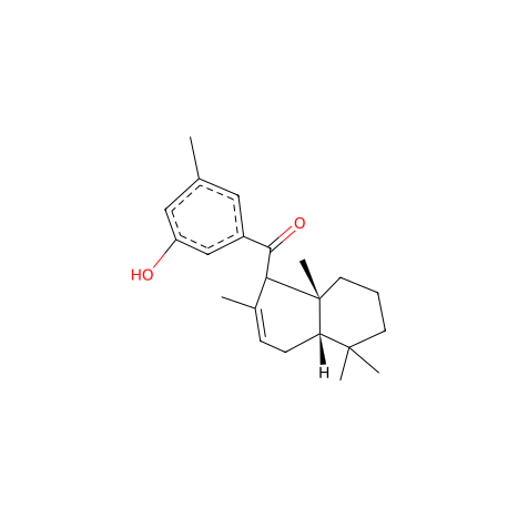 CC1=CC[C@H]2C(C)(C)CCC[C@@]2(C)C1C(=O)c1cc(C)cc(O)c1